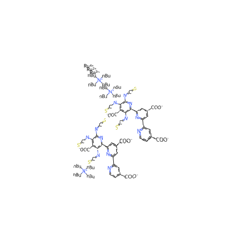 CCCC[N+](CCCC)(CCCC)CCCC.CCCC[N+](CCCC)(CCCC)CCCC.CCCC[N+](CCCC)(CCCC)CCCC.O=C([O-])c1ccnc(-c2cc(C(=O)[O-])cc(-c3nc(N=C=S)c(N=C=S)c(C(=O)[O-])c3N=C=S)n2)c1.O=C([O-])c1ccnc(-c2cc(C(=O)[O-])cc(-c3nc(N=C=S)c(N=C=S)c(C(=O)[O-])c3N=C=S)n2)c1.[Ru+2].[Ru+2].[Ru+4]